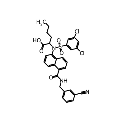 CCCCC(C(=O)O)N(c1cccc2c(C(=O)NCc3cccc(C#N)c3)cccc12)S(=O)(=O)c1cc(Cl)cc(Cl)c1